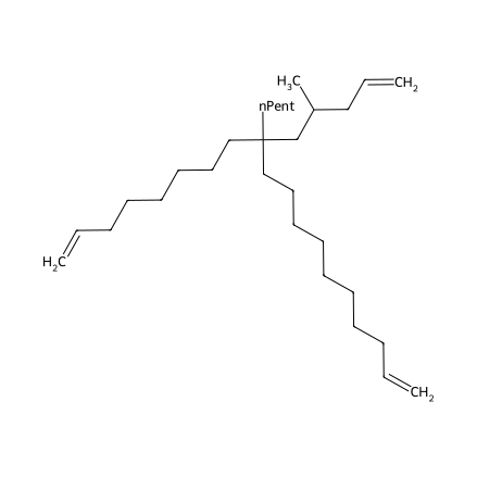 C=CCCCCCCCCC(CCCCC)(CCCCCCC=C)CC(C)CC=C